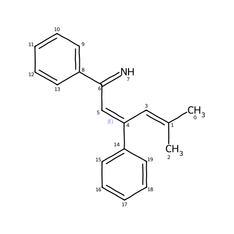 CC(C)=C/C(=C\C(=N)c1ccccc1)c1ccccc1